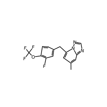 Cc1cc(Cc2ccc(OC(F)(F)F)c(F)c2)n2ncnc2c1